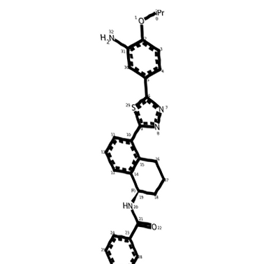 CC(C)Oc1ccc(-c2nnc(-c3cccc4c3CCC[C@H]4NC(=O)c3ccncc3)s2)cc1N